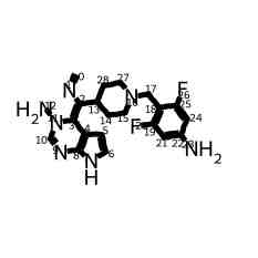 C=N/C(=C1/c2cc[nH]c2N=CN1N)C1CCN(Cc2c(F)cc(N)cc2F)CC1